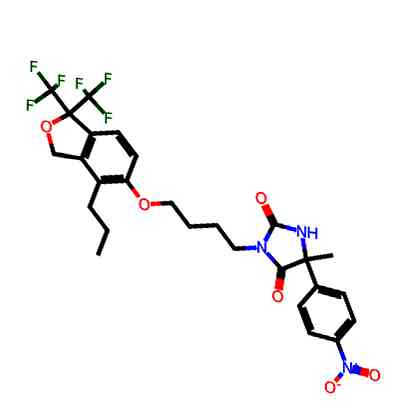 CCCc1c(OCCCCN2C(=O)NC(C)(c3ccc([N+](=O)[O-])cc3)C2=O)ccc2c1COC2(C(F)(F)F)C(F)(F)F